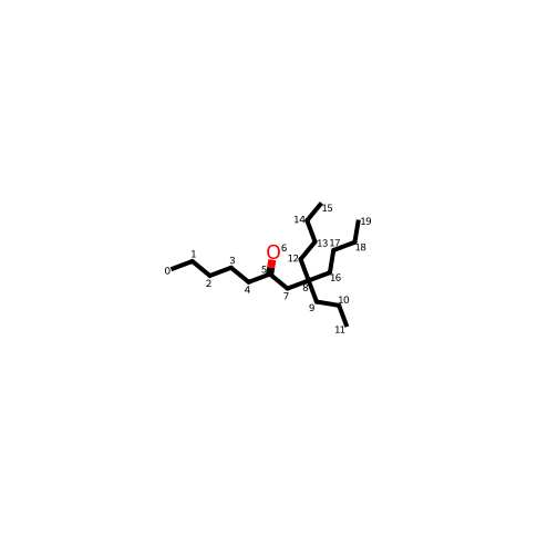 CCCCCC(=O)CC(CCC)(CCCC)CCCC